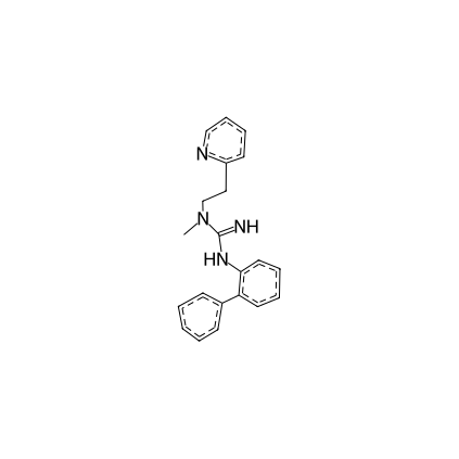 CN(CCc1ccccn1)C(=N)Nc1ccccc1-c1ccccc1